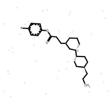 CCC[C@H]1CC[C@H]([C@H]2CCCC(CCC(=O)Oc3ccc(F)cc3)C2)CC1